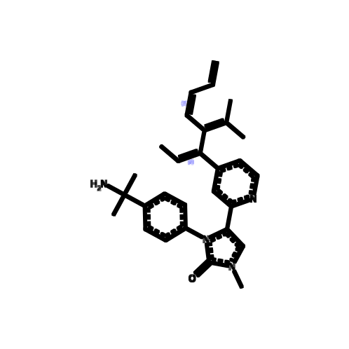 C=C/C=C\C(=C(C)C)/C(=C\C)c1ccnc(-c2cn(C)c(=O)n2-c2ccc(C(C)(C)N)cc2)c1